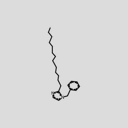 CCCCCCCCCCCCCc1nccn1Cc1ccccc1